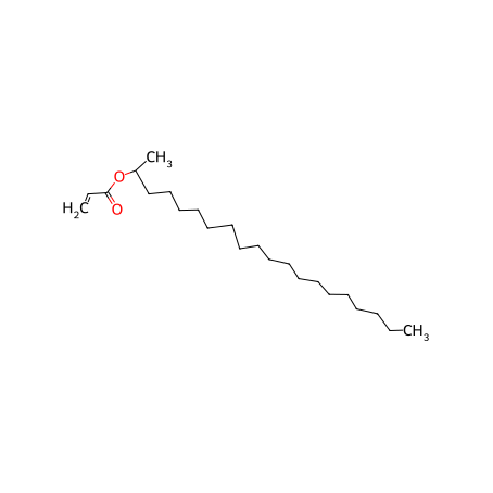 C=CC(=O)OC(C)CCCCCCCCCCCCCCCCCC